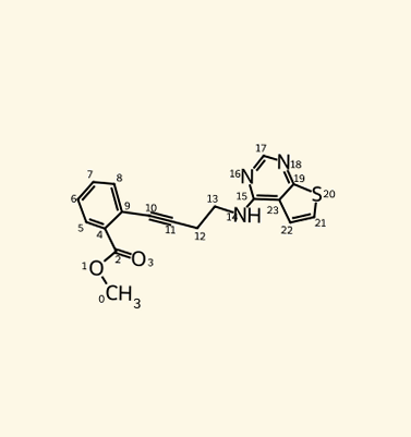 COC(=O)c1ccccc1C#CCCNc1ncnc2sccc12